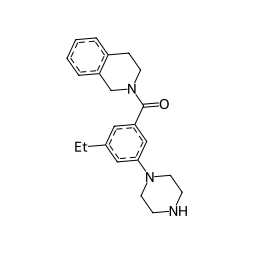 CCc1cc(C(=O)N2CCc3ccccc3C2)cc(N2CCNCC2)c1